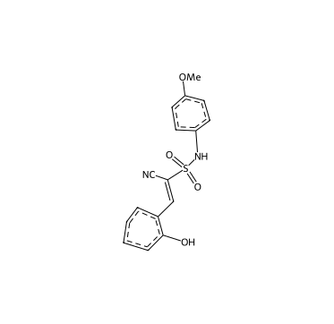 COc1ccc(NS(=O)(=O)C(C#N)=Cc2ccccc2O)cc1